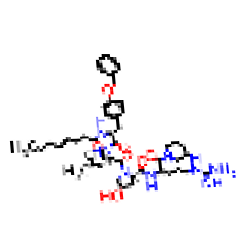 CCCCCCCC(=O)N[C@@H](Cc1ccc(OCc2ccccc2)cc1)C(=O)N[C@@H](CC(C)C)C(=O)N1C[C@H](O)C[C@H]1C(=O)N[C@H](CCCNC(=N)N)C(=O)N1CCCCC1